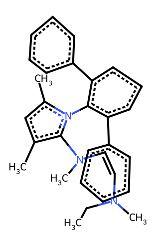 CCN(C)/C=C\N(C)c1c(C)cc(C)n1-c1c(-c2ccccc2)cccc1-c1ccccc1